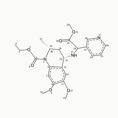 CCOC(=O)N1c2cc(OC)c(OC)cc2[C@@H](NC(C(=O)OC)c2cccnc2)C[C@H]1C